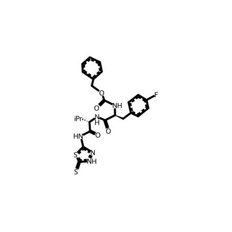 CC(C)[C@H](NC(=O)[C@H](Cc1ccc(F)cc1)NC(=O)OCc1ccccc1)C(=O)Nc1n[nH]c(=S)s1